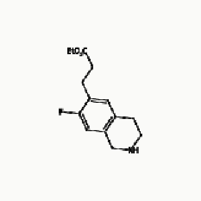 CCOC(=O)CCc1cc2c(cc1F)CNCC2